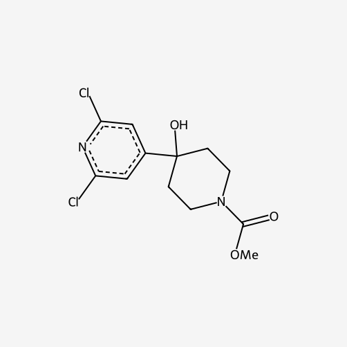 COC(=O)N1CCC(O)(c2cc(Cl)nc(Cl)c2)CC1